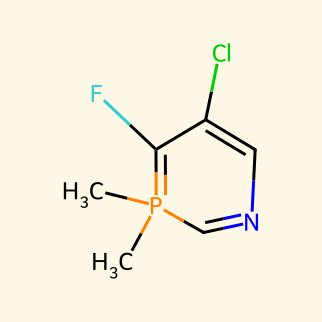 CP1(C)=C(F)C(Cl)=CN=C1